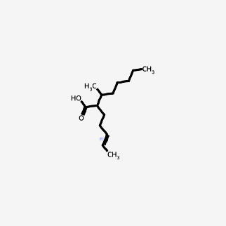 C/C=C/CCC(C(=O)O)C(C)CCCCC